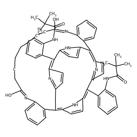 CC(C)(C)C(=O)Nc1ccccc1-c1c2nc(c3c4ccc([nH]4)c(-c4ccccc4NC(=O)C(C)(C)C)c4nc(c(c5ccc1[nH]5)-c1ccccc1N=C(O)CCCCCCCC(O)=Nc1ccccc1-3)C=C4)C=C2